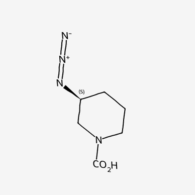 [N-]=[N+]=N[C@H]1CCCN(C(=O)O)C1